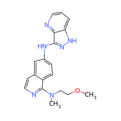 COCCN(C)c1nccc2cc(Nc3n[nH]c4cccnc34)ccc12